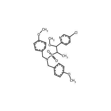 COc1ccc(CN(Cc2ccc(OC)cc2)S(=O)(=O)C(C)C(OC)c2ccc(Cl)cn2)cc1